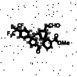 COC(=O)[C@H]1CC[C@H](C(=O)N2CCC(Sc3cccc(CC=O)c3)(c3ccc(C(F)(C(F)(F)F)C(F)(F)F)cc3)C2)CC1